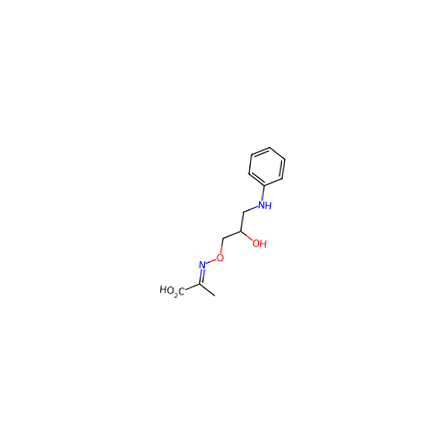 CC(=NOCC(O)CNc1ccccc1)C(=O)O